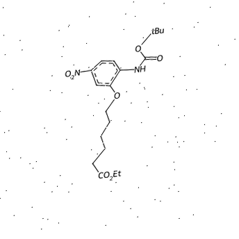 CCOC(=O)CCCCCOc1cc([N+](=O)[O-])ccc1NC(=O)OC(C)(C)C